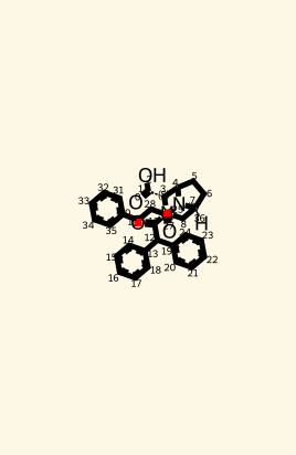 O=C(O)[C@@H]1C2CC[C@@H](CN1C(=O)C(c1ccccc1)c1ccccc1)N2C(=O)CCc1ccccc1